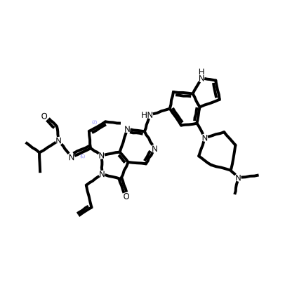 C=CCn1c(=O)c2cnc(Nc3cc(N4CCC(N(C)C)CC4)c4cc[nH]c4c3)nc2n1C(/C=C\C)=N/N(C=O)C(C)C